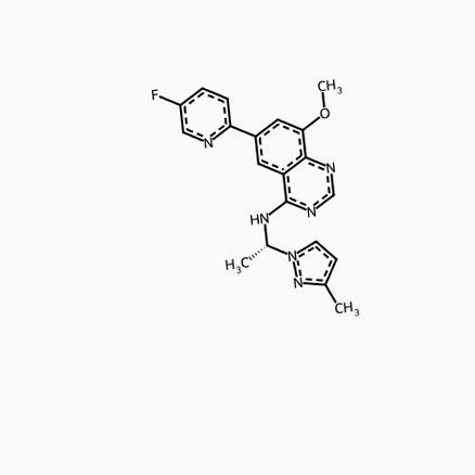 COc1cc(-c2ccc(F)cn2)cc2c(N[C@@H](C)n3ccc(C)n3)ncnc12